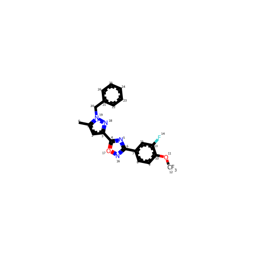 Cc1cc(-c2nc(-c3ccc(OC(F)(F)F)c(F)c3)no2)nn1Cc1c[c]ccc1